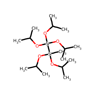 CC(C)O[Si](C)(OC(C)C)[Si](OC(C)C)(OC(C)C)OC(C)C